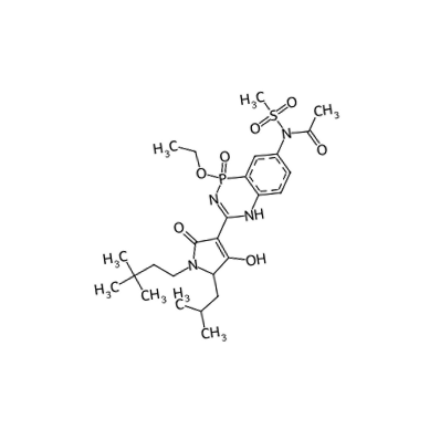 CCOP1(=O)N=C(C2=C(O)C(CC(C)C)N(CCC(C)(C)C)C2=O)Nc2ccc(N(C(C)=O)S(C)(=O)=O)cc21